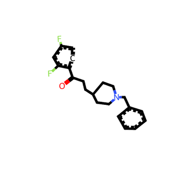 O=C(CCC1CCN(Cc2ccccc2)CC1)c1ccc(F)cc1F